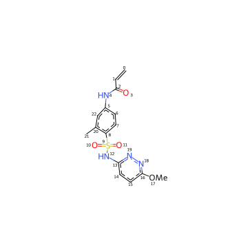 C=CC(=O)Nc1ccc(S(=O)(=O)Nc2ccc(OC)nn2)c(C)c1